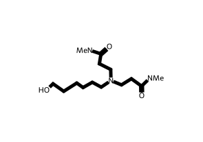 CNC(=O)CCN(CCCCCCO)CCC(=O)NC